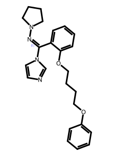 c1ccc(OCCCCOc2ccccc2/C(=N\N2CCCC2)n2ccnc2)cc1